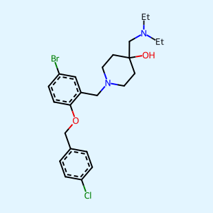 CCN(CC)CC1(O)CCN(Cc2cc(Br)ccc2OCc2ccc(Cl)cc2)CC1